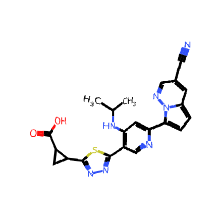 CC(C)Nc1cc(-c2ccc3cc(C#N)cnn23)ncc1-c1nnc(C2CC2C(=O)O)s1